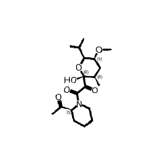 CO[C@H]1C[C@@H](C)[C@](O)(C(=O)C(=O)N2CCCC[C@H]2C(C)=O)OC1C(C)C